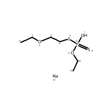 CCOCCSP(O)(=S)OCC.[Na]